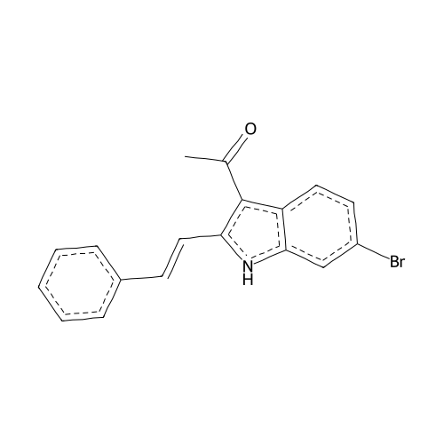 CC(=O)c1c(/C=C/c2ccccc2)[nH]c2cc(Br)ccc12